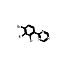 Brc1ccc(-c2ncncn2)c(Br)c1Br